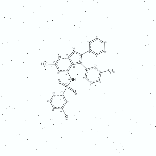 Cc1cccc(-c2c(-c3ccccc3)sc3nc(C)cc(NS(=O)(=O)c4cccc(Cl)c4)c23)c1